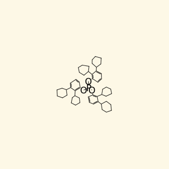 c1cc(OP(Oc2cccc(C3CCCCC3)c2C2CCCCC2)Oc2cccc(C3CCCCC3)c2C2CCCCC2)c(C2CCCCC2)c(C2CCCCC2)c1